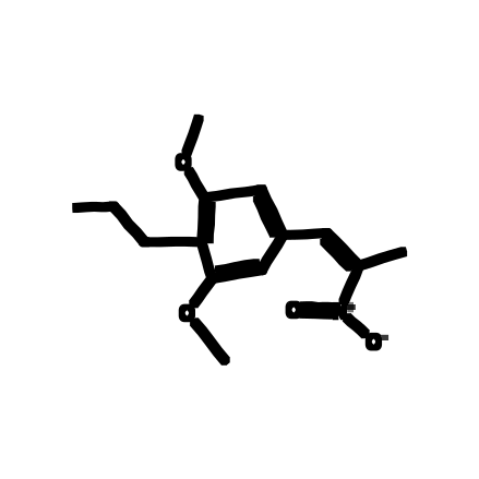 CCCc1c(OC)cc(C=C(C)[N+](=O)[O-])cc1OC